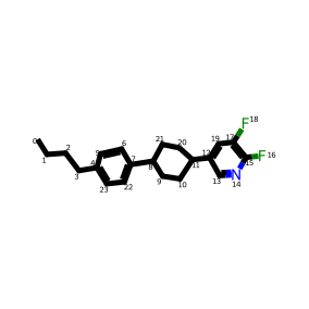 CCCCc1ccc(C2CCC(c3cnc(F)c(F)c3)CC2)cc1